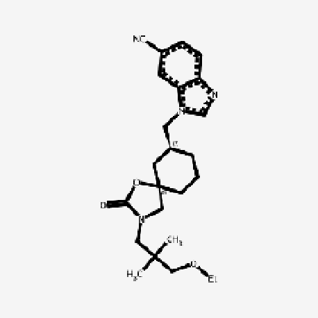 CCOCC(C)(C)CN1C[C@@]2(CCC[C@H](Cn3cnc4ccc(C#N)cc43)C2)OC1=O